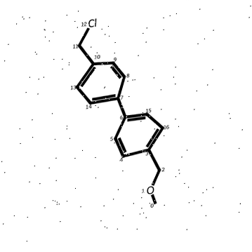 COCc1ccc(-c2ccc(CCl)cc2)cc1